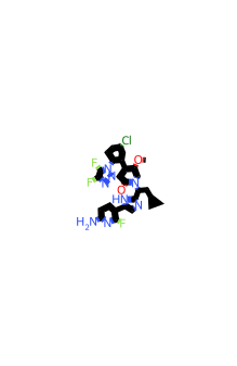 COc1cn(C(CC2CC2)c2ncc(-c3ccc(N)nc3F)[nH]2)c(=O)cc1-c1cc(Cl)ccc1-n1nnc(F)c1F